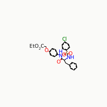 CCOC(=O)COc1ccc(NC(=O)C(Cc2ccccc2)NS(=O)(=O)c2ccc(Cl)cc2)cc1